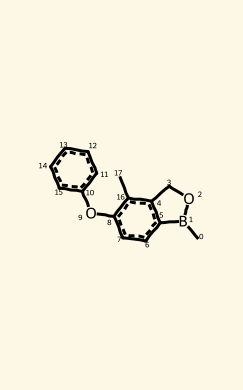 CB1OCc2c1ccc(Oc1ccccc1)c2C